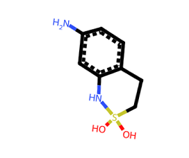 Nc1ccc2c(c1)NS(O)(O)CC2